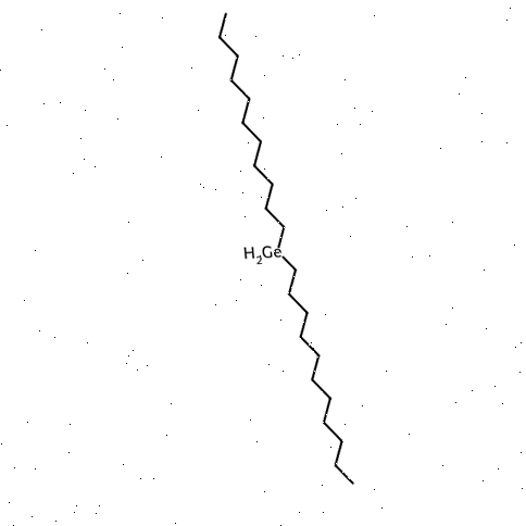 CCCCCCCCCC[CH2][GeH2][CH2]CCCCCCCCCC